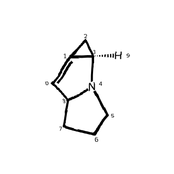 C1=C2C[C@H]2N2CCCC12